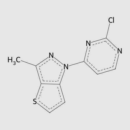 Cc1nn(-c2ccnc(Cl)n2)c2ccsc12